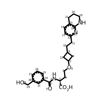 O=C(N[C@@H](CCOC1CC(CCc2ccc3c(n2)NCCC3)C1)C(=O)O)c1cccc(CO)c1